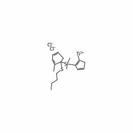 CCCCSC1([Si](C)(C)C2=[C]([Ti+2])CC=C2)CC=CC=C1C.[Cl-].[Cl-]